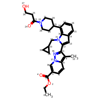 CCOC(=O)c1ccc2c(C)c(-c3cc4cccc(C5CCN(C(=O)CCO)CC5)c4n3CC3CC3)nn2c1